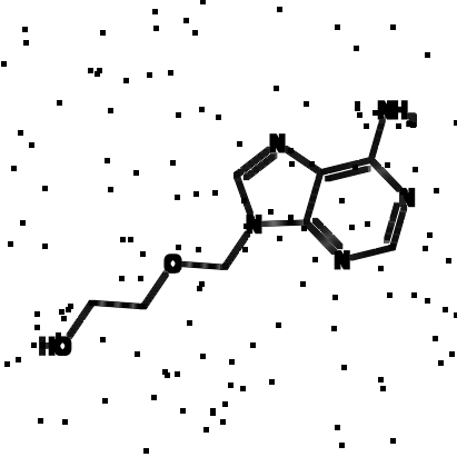 Nc1ncnc2c1ncn2COCCO